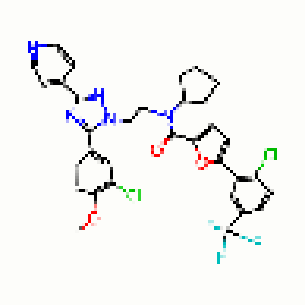 COc1ccc(-c2nc(-c3ccncc3)nn2CCN(C(=O)c2ccc(-c3cc(C(F)(F)F)ccc3Cl)o2)C2CCCC2)cc1Cl